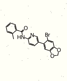 Cc1ccccc1C(=O)Nc1ccc(-c2cc3c(cc2Br)OCO3)cn1